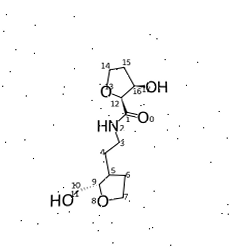 O=C(NCCC1CCO[C@@H]1CO)[C@H]1OCC[C@H]1O